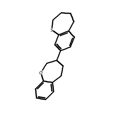 c1ccc2c(c1)CCC(c1ccc3c(c1)SCCCC3)CO2